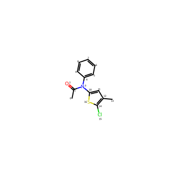 CC(=O)N(c1ccccc1)c1cc(C)c(Cl)s1